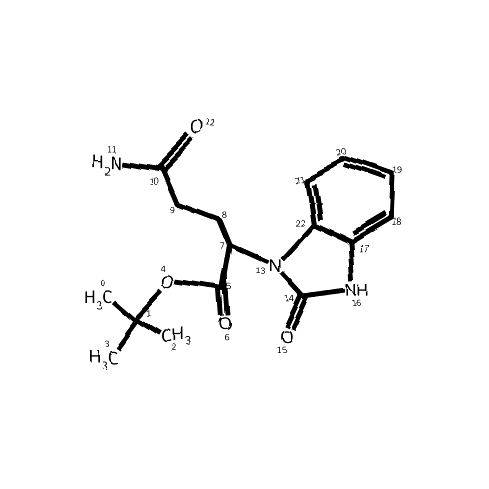 CC(C)(C)OC(=O)C(CCC(N)=O)n1c(=O)[nH]c2ccccc21